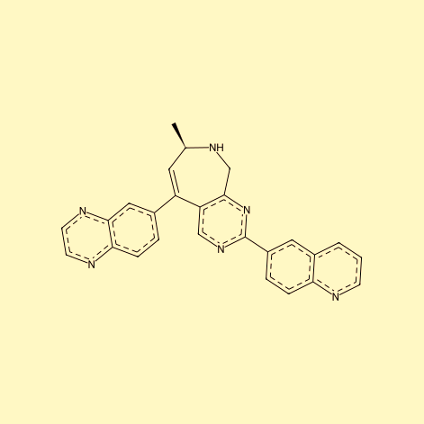 C[C@@H]1C=C(c2ccc3nccnc3c2)c2cnc(-c3ccc4ncccc4c3)nc2CN1